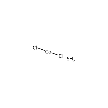 S.[Cl][Co][Cl]